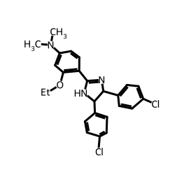 CCOc1cc(N(C)C)ccc1C1=NC(c2ccc(Cl)cc2)C(c2ccc(Cl)cc2)N1